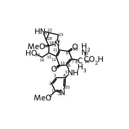 COc1ccc(NC2=C(C)C(=O)C3=C(C2=O)C(CO)C2(OC)C4NC4CN32)cn1.NC(=O)O